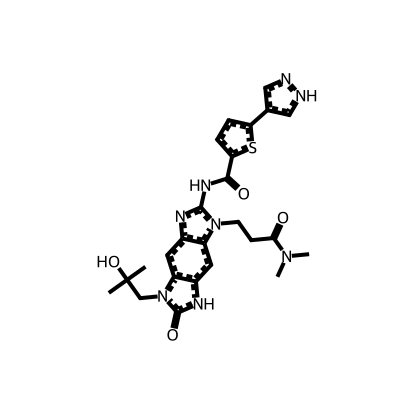 CN(C)C(=O)CCn1c(NC(=O)c2ccc(-c3cn[nH]c3)s2)nc2cc3c(cc21)[nH]c(=O)n3CC(C)(C)O